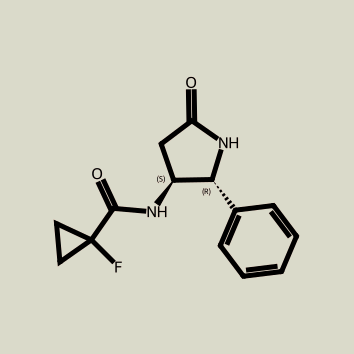 O=C1C[C@H](NC(=O)C2(F)CC2)[C@@H](c2ccccc2)N1